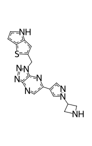 c1cc2sc(Cn3nnc4ncc(-c5cnn(C6CNC6)c5)nc43)cc2[nH]1